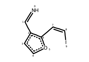 N=Cc1ccoc1/C=C\I